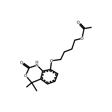 CC(=O)OCCCCOc1cccc2c1NC(=O)OC2(C)C